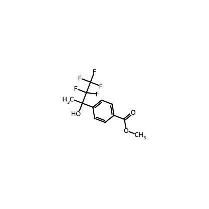 COC(=O)c1ccc(C(C)(O)C(F)(F)C(F)(F)F)cc1